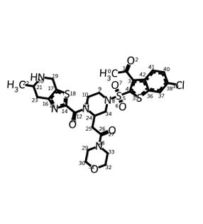 CC(=O)c1c(S(=O)(=O)N2CCN(C(=O)c3nc4c(s3)CNC(C)C4)C(CC(=O)N3CCOCC3)C2)sc2cc(Cl)ccc12